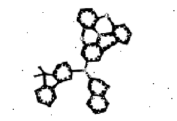 CC1(C)c2ccccc2-c2cc(N(c3ccc4ccccc4c3)c3cc4c5c(c3)c3cccc6c3n5-c3c(cccc3O4)O6)ccc21